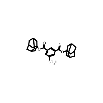 O=C(OC12CC3CC(CC(C3)C1)C2)c1cc(C(=O)OC23CC4CC(CC(C4)C2)C3)cc(S(=O)(=O)O)c1